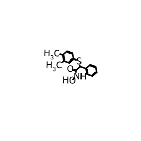 Cc1ccc(SC(C(=O)NO)c2ccccc2)cc1C